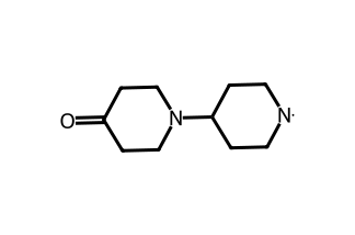 O=C1CCN(C2CC[N]CC2)CC1